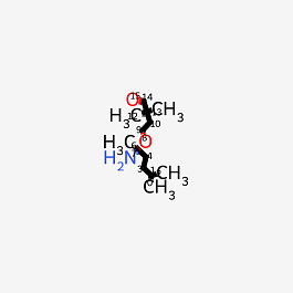 CC(C)CCC(C)(N)OCCC(C)(C)C=O